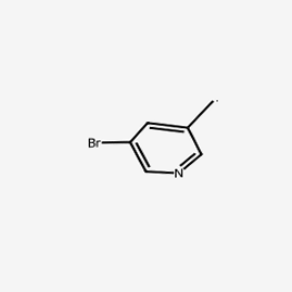 [CH2]c1cncc(Br)c1